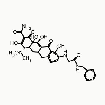 CN(C)[C@@H]1C(O)=C(C(N)=O)C(=O)C2(O)C(O)=C3C(=O)c4c(ccc(NCC(=O)NCc5ccccc5)c4O)CC3CC12